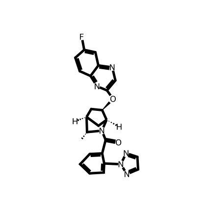 C[C@@H]1[C@H]2C[C@@H](Oc3cnc4cc(F)ccc4n3)[C@H](C2)N1C(=O)c1ccccc1-n1nccn1